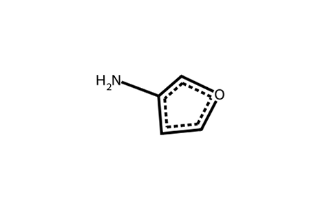 Nc1ccoc1